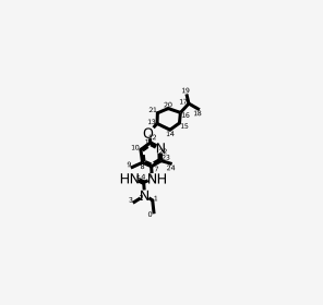 CCN(C)C(=N)Nc1c(C)cc(OC2CCC(C(C)C)CC2)nc1C